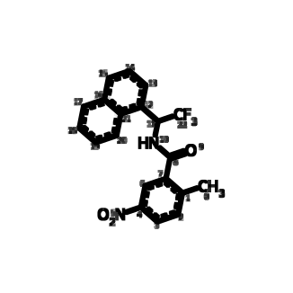 Cc1ccc([N+](=O)[O-])cc1C(=O)NC(c1cccc2ccccc12)C(F)(F)F